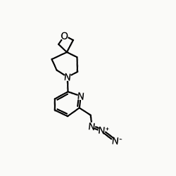 [N-]=[N+]=NCc1cccc(N2CCC3(CC2)COC3)n1